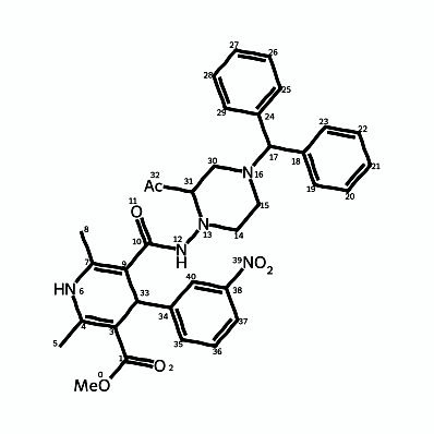 COC(=O)C1=C(C)NC(C)=C(C(=O)NN2CCN(C(c3ccccc3)c3ccccc3)CC2C(C)=O)C1c1cccc([N+](=O)[O-])c1